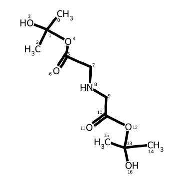 CC(C)(O)OC(=O)CNCC(=O)OC(C)(C)O